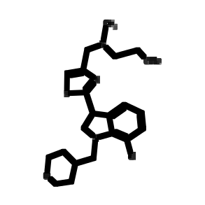 COCCN(C)Cc1csc(C2CN(CC3CCOCC3)c3c(Cl)cccc32)n1